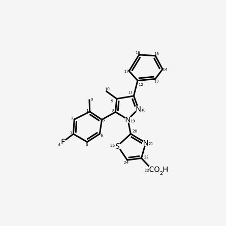 Cc1cc(F)ccc1-c1c(C)c(-c2ccccc2)nn1-c1nc(C(=O)O)cs1